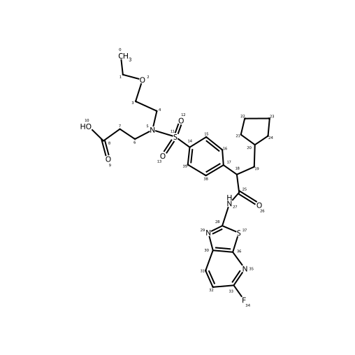 CCOCCN(CCC(=O)O)S(=O)(=O)c1ccc(C(CC2CCCC2)C(=O)Nc2nc3ccc(F)nc3s2)cc1